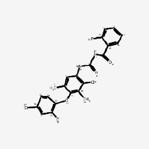 Cc1cc(NC(=O)NC(=O)c2ccccc2F)c(Cl)c(C)c1Oc1ccc(Cl)cc1Cl